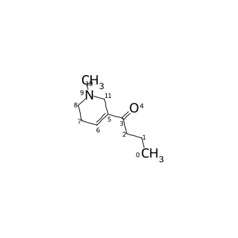 CCCC(=O)C1=CCCN(C)C1